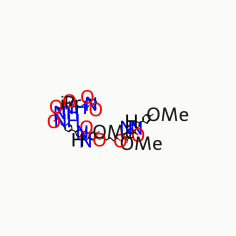 COc1ccc(C2=CN3C(=O)c4cc(OC)c(OCCCCCOc5cc6c(cc5OC)C(=O)N5C=C(c7ccc(CNC(=O)C(C)NC(=O)C(NC(=O)CCCCCN8C(=O)C=CC8=O)C(C)C)cc7)C[C@H]5C=N6)cc4N=C[C@@H]3C2)cc1